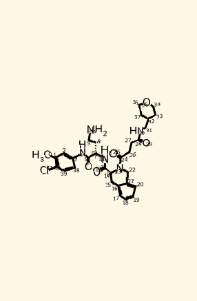 Cc1cc(NC(=O)[C@H](CCN)NC(=O)[C@@H]2Cc3ccccc3CN2C(=O)CCC(=O)NCC2CCOCC2)ccc1Cl